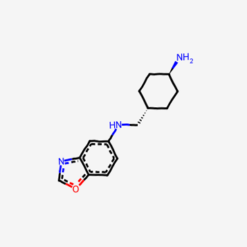 N[C@H]1CC[C@H](CNc2ccc3ocnc3c2)CC1